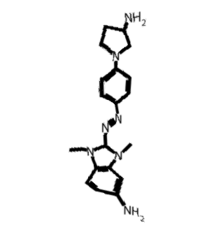 CN1c2ccc(N)cc2N(C)C1N=Nc1ccc(N2CCC(N)C2)cc1